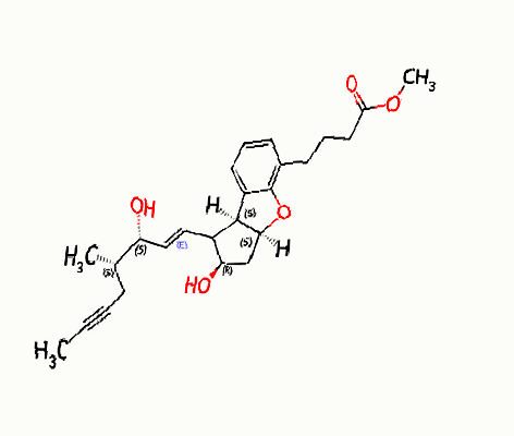 CC#CC[C@H](C)[C@H](O)/C=C/C1[C@H](O)C[C@@H]2Oc3c(CCCC(=O)OC)cccc3[C@H]12